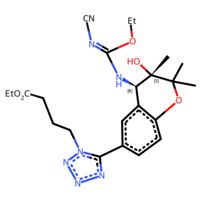 CCOC(=O)CCCn1nnnc1-c1ccc2c(c1)[C@@H](NC(=NC#N)OCC)[C@](C)(O)C(C)(C)O2